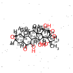 CC(=O)O[C@H]1C2C([C@@H]3[C@@]4(O)C[C@]5([C@@H]4[C@]4(C)[C@]6(OC[C@@]4(C)O)O[C@@H]6[C@@]5(C)O)[C@@]3(C)[C@H]1OC(C)=O)[C@@H](O)C(=O)[C@H]1C[C@@H]3O[C@@H]3[C@H](OC(C)=O)[C@]21C